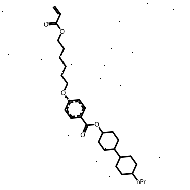 C=CC(=O)OCCCCCCOc1ccc(C(=O)OC2CCC(C3CCC(CCC)CC3)CC2)cc1